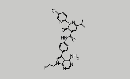 CC(C)c1cc(C(=O)Nc2ccc(-c3cn(CCF)c4ncnc(N)c34)cc2)c(=O)n(-c2ccc(Cl)cn2)n1